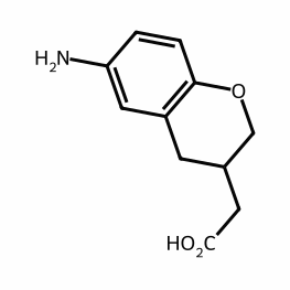 Nc1ccc2c(c1)CC(CC(=O)O)CO2